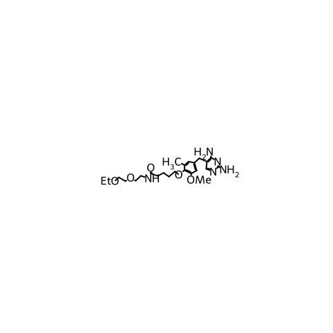 CCOCCOCCNC(=O)CCCCOc1c(C)cc(Cc2cnc(N)nc2N)cc1OC